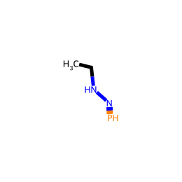 CCNN=P